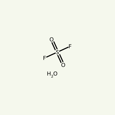 O.O=S(=O)(F)F